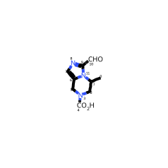 CC1CN(C(=O)O)Cc2cnc(C=O)n21